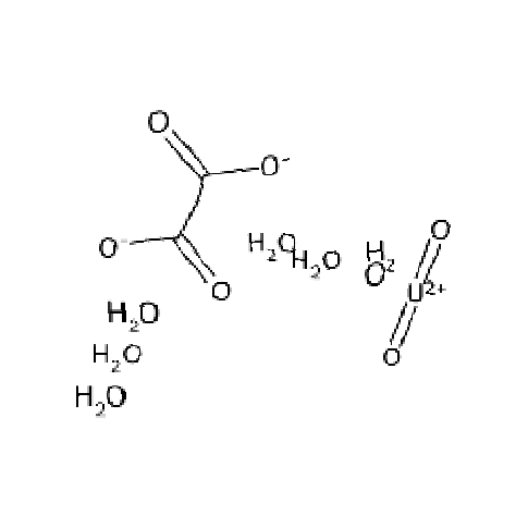 O.O.O.O.O.O.O=C([O-])C(=O)[O-].[O]=[U+2]=[O]